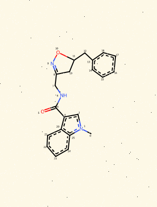 Cn1cc(C(=O)NCC2=NOC(Cc3ccccc3)C2)c2ccccc21